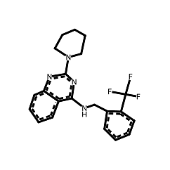 FC(F)(F)c1ccccc1CNc1nc(N2CCCCC2)nc2ccccc12